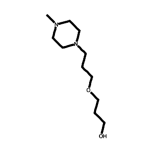 CN1CCN(CCCOCCCO)CC1